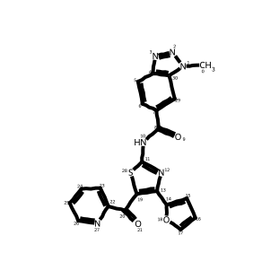 Cn1nnc2ccc(C(=O)Nc3nc(-c4ccco4)c(C(=O)c4ccccn4)s3)cc21